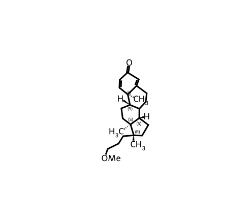 COCCC[C@@]1(C)CC[C@H]2C3CCC4=CC(=O)C=C[C@]4(C)[C@H]3CC[C@@]21C